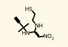 C#CC(C)(C)NC(=C[N+](=O)[O-])NCCS